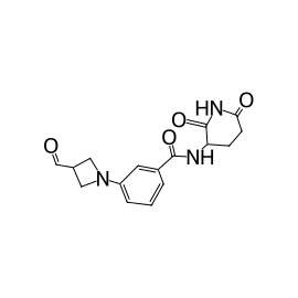 O=CC1CN(c2cccc(C(=O)NC3CCC(=O)NC3=O)c2)C1